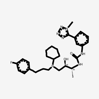 C[C@@H](NC(=O)Nc1cccc(-c2nnnn2C)c1)[C@H](O)CN(CCCc1ccc(F)cc1)C1CCCCC1